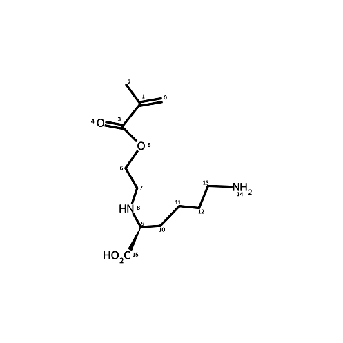 C=C(C)C(=O)OCCN[C@@H](CCCCN)C(=O)O